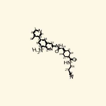 Cc1ccncc1-c1cc(N)c2cnc(NC(=O)C=C3CCC(C(=O)NCCC#N)CC3)cc2c1